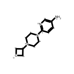 Nc1ccc(N2CCN(C3COC3)CC2)nc1